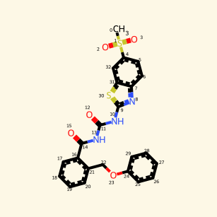 CS(=O)(=O)c1ccc2nc(NC(=O)NC(=O)c3ccccc3COc3ccccc3)sc2c1